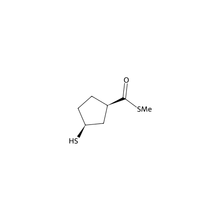 CSC(=O)[C@@H]1CC[C@H](S)C1